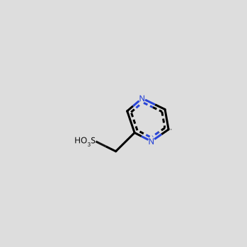 O=S(=O)(O)Cc1cnc[c]n1